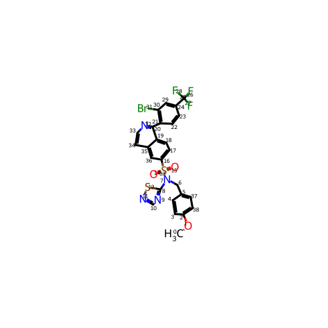 COc1ccc(CN(c2ncns2)S(=O)(=O)c2ccc3c(-c4ccc(C(F)(F)F)cc4Br)nccc3c2)cc1